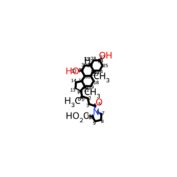 C[C@H](CCC(=O)N1CCC[C@H]1C(=O)O)[C@H]1CCC2C3C(CC[C@@]21C)[C@@]1(C)CC[C@@H](O)C[C@H]1C[C@@H]3O